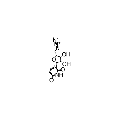 [N-]=[N+]=NC[C@H]1O[C@@H](n2ccc(=O)[nH]c2=O)C(O)[C@H]1O